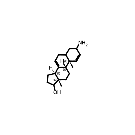 C[C@]12C=CC(N)CC1CC=C1[C@H]2CC[C@]2(C)C(O)CC[C@@H]12